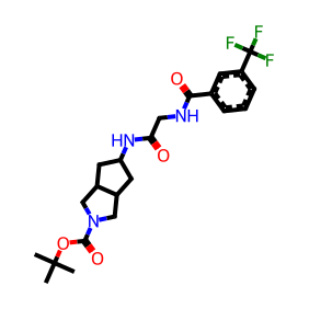 CC(C)(C)OC(=O)N1CC2CC(NC(=O)CNC(=O)c3cccc(C(F)(F)F)c3)CC2C1